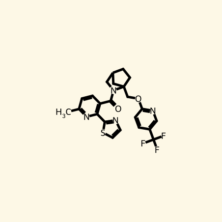 Cc1ccc(C(=O)N2CC3CCC2(COc2ccc(C(F)(F)F)cn2)C3)c(-c2nccs2)n1